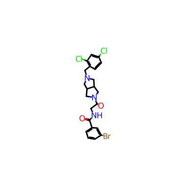 O=C(NCC(=O)N1CC2CN(Cc3ccc(Cl)cc3Cl)CC2C1)c1cccc(Br)c1